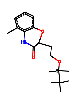 Cc1cccc2c1NC(=O)C(CCO[Si](C)(C)C(C)(C)C)O2